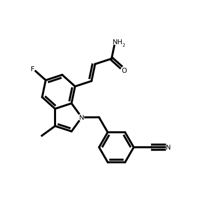 Cc1cn(Cc2cccc(C#N)c2)c2c(C=CC(N)=O)cc(F)cc12